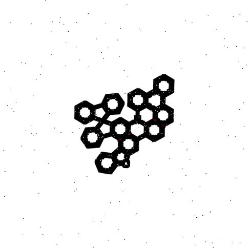 c1ccc(N(c2ccc3c(c2)C2(c4ccccc4-c4ccccc42)c2ccccc2-3)c2cccc3c4ccccc4c4ccccc4c23)c(-c2ccc3c(c2)oc2ccccc23)c1